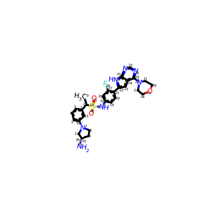 CC(c1cccc(N2CC[C@@H](N)C2)c1)S(=O)(=O)Nc1ccc(-c2cc3c(N4CCOCC4)ncnc3[nH]2)c(F)c1